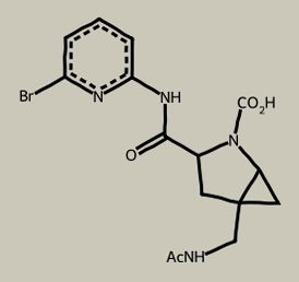 CC(=O)NCC12CC(C(=O)Nc3cccc(Br)n3)N(C(=O)O)C1C2